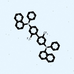 FC(F)(F)c1cc(N(c2ccccc2)c2cccc3ccccc23)ccc1-c1ccc(N(c2ccccc2)c2cccc3ccccc23)cc1C(F)(F)F